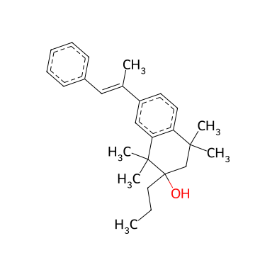 CCCC1(O)CC(C)(C)c2ccc(C(C)=Cc3ccccc3)cc2C1(C)C